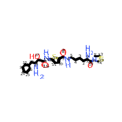 NC(CCCCNC(=O)c1ccc(NC(=O)C(O)C(N)Cc2ccccc2)s1)C(=O)N1CCSC1